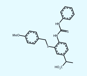 COc1ccc(CSc2cc(C(C)C(=O)O)ccc2NC(=S)Nc2ccccc2)cc1